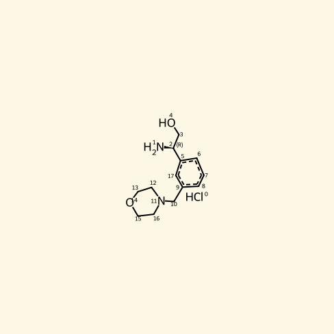 Cl.N[C@@H](CO)c1cccc(CN2CCOCC2)c1